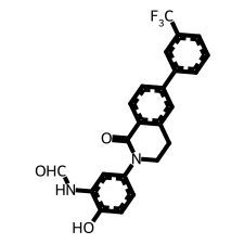 O=CNc1cc(N2CCc3cc(-c4cccc(C(F)(F)F)c4)ccc3C2=O)ccc1O